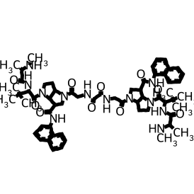 CNC(C)C(=O)NC(C(=O)N1CCC2C1C(C(=O)Nc1cccc3ccccc13)CN2C(=O)CNC(=O)C(=O)NCC(=O)N1CC(C(=O)Nc2cccc3ccccc23)C2C1CCN2C(=O)C(NC(=O)C(C)NC)C(C)(C)C)C(C)(C)C